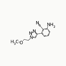 COCCn1cc(-c2cccc(N)c2C#N)nn1